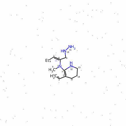 C=CC1=C(N(C)/C(=C\CC)CNN)NCCC1